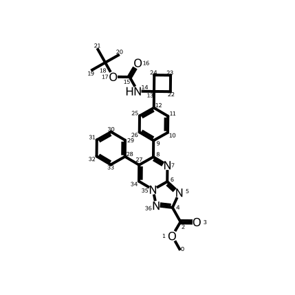 COC(=O)c1nc2nc(-c3ccc(C4(NC(=O)OC(C)(C)C)CCC4)cc3)c(-c3ccccc3)cn2n1